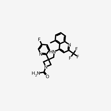 Cc1cccc2nc(C(F)(F)F)cc(NCC3(c4ccc(F)cn4)CN(C(N)=O)C3)c12